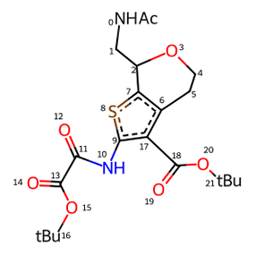 CC(=O)NCC1OCCc2c1sc(NC(=O)C(=O)OC(C)(C)C)c2C(=O)OC(C)(C)C